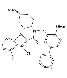 C=C(c1sc2cccc(F)c2c1Cl)N(Cc1cc(-c2cccnc2)ccc1OC)[C@H]1CC[C@H](NC)CC1